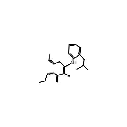 C=C(/C=C\CC)/C(C)=C(\C/C=C\C)Nc1ccccc1CC(C)C